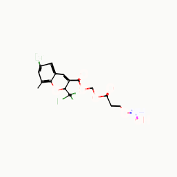 Cc1cc(Br)cc2c1OC(C(F)(F)F)C(C(=O)OCOC(=O)CCONO)=C2